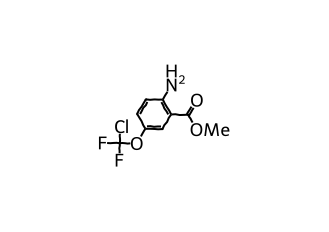 COC(=O)c1cc(OC(F)(F)Cl)ccc1N